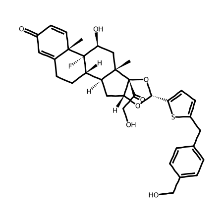 C[C@]12C=CC(=O)C=C1CC[C@H]1[C@@H]3C[C@H]4O[C@@H](c5ccc(Cc6ccc(CO)cc6)s5)O[C@@]4(C(=O)CO)[C@@]3(C)C[C@H](O)[C@@]12F